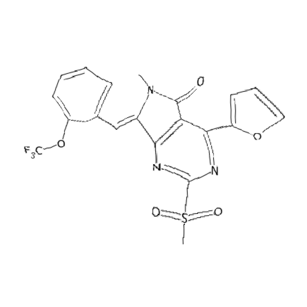 CN1C(=O)c2c(nc(S(C)(=O)=O)nc2-c2ccco2)/C1=C/c1ccccc1OC(F)(F)F